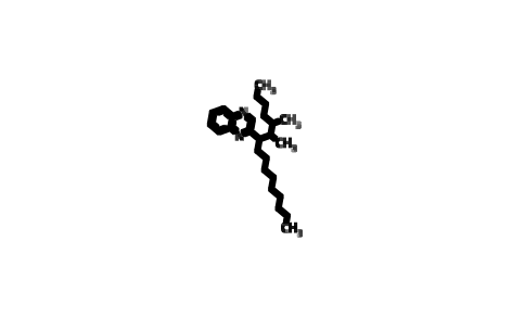 CCCCCCCCCC(c1cnc2ccccc2n1)C(C)C(C)CCCC